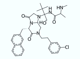 CNC(C)C(=O)NC(C=O)(N1CC(=O)N2[C@@H](Cc3ccc4ccccc4c3)C(=O)N(CCc3cccc(Cl)c3)C[C@@H]21)C(C)(C)C